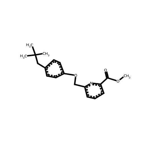 COC(=O)c1cccc(COc2ccc(CC(C)(C)C)cc2)n1